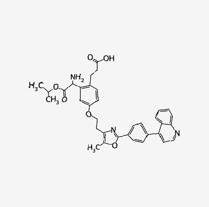 Cc1oc(-c2ccc(-c3ccnc4ccccc34)cc2)nc1CCOc1ccc(CCC(=O)O)c(C(N)C(=O)OC(C)C)c1